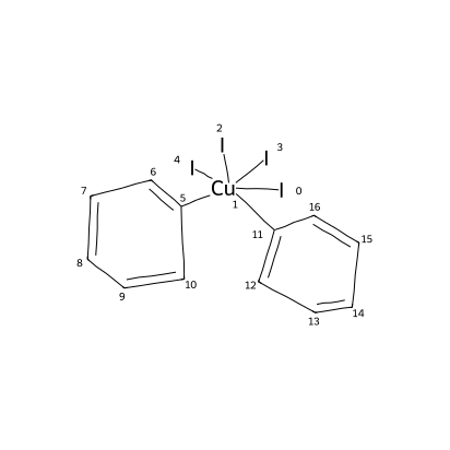 [I][Cu]([I])([I])([I])([c]1ccccc1)[c]1ccccc1